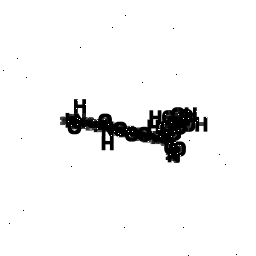 CN(C)C(=O)OCc1cc(CCCOCCOCCOCCNC(=O)CCCCCNC(=O)CI)ccc1O[C@@H]1O[C@H](C(=O)O)[C@@H](O)[C@H](O)[C@H]1O